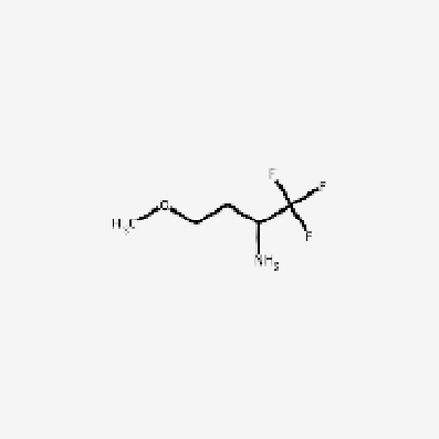 COCCC(N)C(F)(F)F